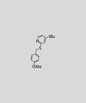 COc1ccc(CSc2cc(C(C)(C)C)ccn2)cc1